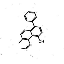 C/C=N\c1c(C)ccc2c(-c3ccccc3)ccc(O)c12